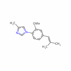 COc1cc(C=C(C)C)ccc1-n1cnc(C)c1